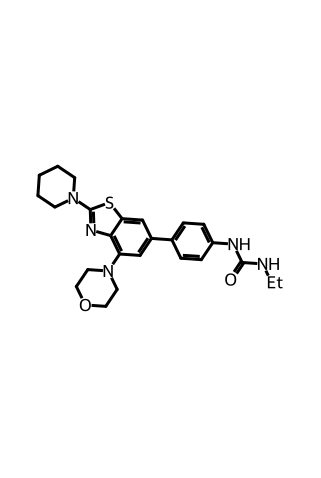 CCNC(=O)Nc1ccc(-c2cc(N3CCOCC3)c3nc(N4CCCCC4)sc3c2)cc1